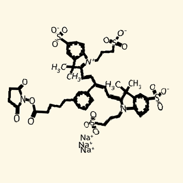 CC1(C)C(/C=C/C(=C/C=C2/N(CCCS(=O)(=O)[O-])c3ccc(S(=O)(=O)[O-])cc3C2(C)C)c2cccc(CCCCC(=O)ON3C(=O)CCC3=O)c2)=[N+](CCCS(=O)(=O)[O-])c2ccc(S(=O)(=O)[O-])cc21.[Na+].[Na+].[Na+]